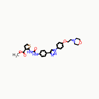 COC(=O)c1ccsc1NC(=O)Nc1ccc(-c2cn(-c3ccc(OCCN4CCOCC4)cc3)nn2)cc1